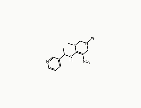 CCN1CC([N+](=O)[O-])=C(NC(C)c2cccnc2)N(C)C1